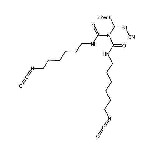 CCCCCC(OC#N)N(C(=O)NCCCCCCN=C=O)C(=O)NCCCCCCN=C=O